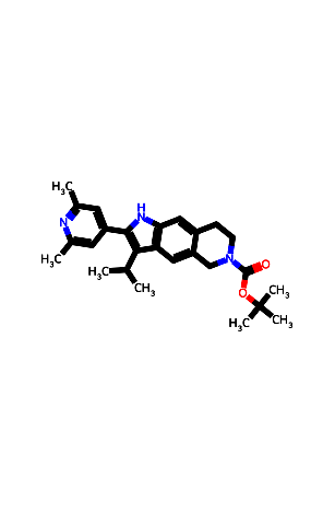 Cc1cc(-c2[nH]c3cc4c(cc3c2C(C)C)CN(C(=O)OC(C)(C)C)CC4)cc(C)n1